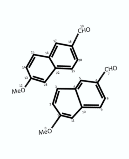 COc1ccc2cc(C=O)ccc2c1.COc1ccc2cc(C=O)ccc2c1